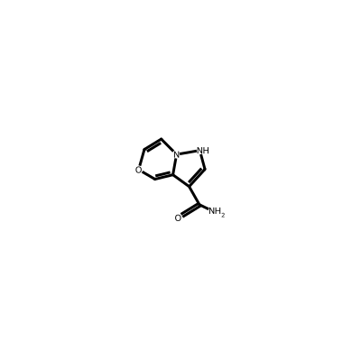 NC(=O)C1=CNN2C=COC=C12